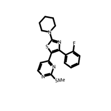 CSc1nccc(-c2sc(N3CCCCC3)nc2-c2ccccc2F)n1